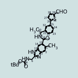 Cc1cc2nc(CNC(=O)OC(C)(C)C)[nH]c2cc1C(=O)N[C@H](C)c1cccc(-c2ccc(C=O)s2)c1